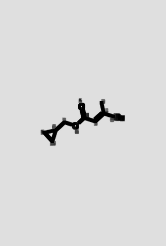 CCC(C)/C(C)=C/C(=O)OCC1CC1